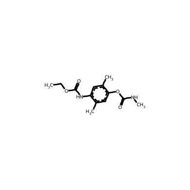 CCOC(=O)Nc1cc(C)c(OC(=O)NC)cc1C